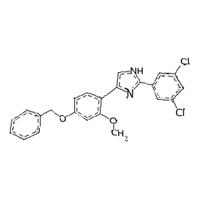 COc1cc(OCc2ccccc2)ccc1-c1c[nH]c(-c2cc(Cl)cc(Cl)c2)n1